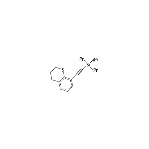 CC(C)[Si](C#Cc1cccc2c1SCCC2)(C(C)C)C(C)C